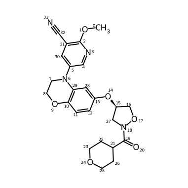 COc1ncc(N2CCOc3ccc(O[C@H]4CON(C(=O)C5CCOCC5)C4)cc32)cc1C#N